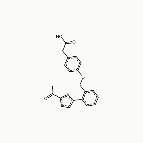 CC(=O)c1ccc(-c2ccccc2COc2ccc(CC(=O)O)cc2)s1